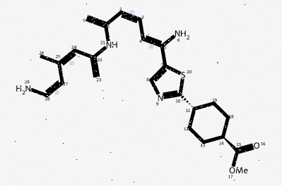 C=C(/C=C\C=C(/N)c1cnc([C@H]2CC[C@H](C(=O)OC)CC2)s1)NC(=C)/C=C(C)\C=C/N